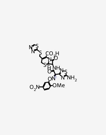 COc1ccc([N+](=O)[O-])cc1O/N=C(\C(=O)NC1C(=O)N2C(C(=O)O)=C(CSc3nncs3)CS[C@H]12)c1nsc(N)n1